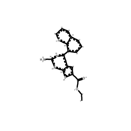 CCOC(=O)c1cc2c(-c3cccc4cccnc34)nc(N)nc2s1